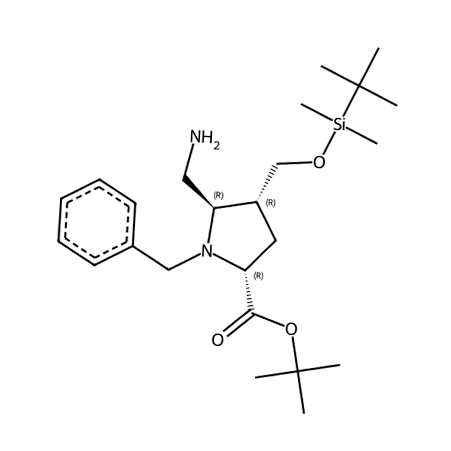 CC(C)(C)OC(=O)[C@H]1C[C@@H](CO[Si](C)(C)C(C)(C)C)[C@H](CN)N1Cc1ccccc1